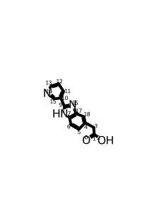 O=C(O)Cc1ccc2[nH]c(-c3cccnc3)nc2c1